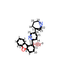 Br.c1ccc2c(c1)oc1cccc(-c3ccc(C45CCCN(CC4)C5)cn3)c12